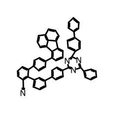 N#Cc1cccc(-c2ccc(-c3cccc4c3-c3cccc5cccc-4c35)cc2)c1-c1cccc(-c2ccc(-c3nc(-c4ccccc4)nc(-c4ccc(-c5ccccc5)cc4)n3)cc2)c1